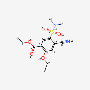 CCOC(=O)c1cc(S(=O)(=O)N(C)C)c(C#N)cc1OCC